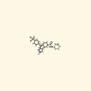 Cn1cc2c3cc(C(=O)N[C@H]4CCCOC4)ccc3n(-c3ccc(C(F)(F)F)cc3)c2n1